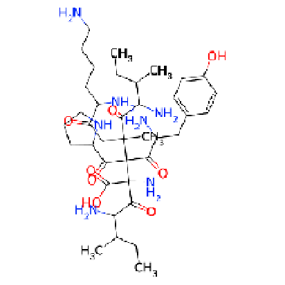 CCC(C)C(N)C(=O)C(C)(CC(=O)C(N)CCCCN)C(C(=O)C(N)Cc1ccc(O)cc1)(C(=O)C1CCCN1)C(N)(C(=O)O)C(=O)C(N)C(C)CC